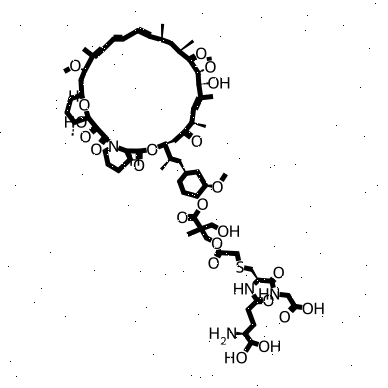 CO[C@H]1C[C@@H]2CC[C@@H](C)[C@@](O)(O2)C(=O)C(=O)N2CCCC[C@H]2C(=O)O[C@H]([C@H](C)C[C@@H]2CC[C@@H](OC(=O)C(C)(CO)COC(=O)CSC[C@H](NC(=O)CC[C@H](N)C(O)O)C(=O)NCC(=O)O)[C@H](OC)C2)CC(=O)[C@H](C)/C=C(\C)[C@@H](O)[C@@H](OC)C(=O)[C@H](C)C[C@H](C)/C=C/C=C/C=C/1C